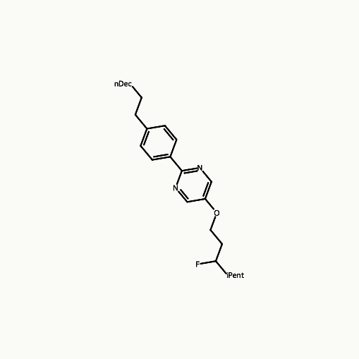 CCCCCCCCCCCCc1ccc(-c2ncc(OCCC(F)C(C)CCC)cn2)cc1